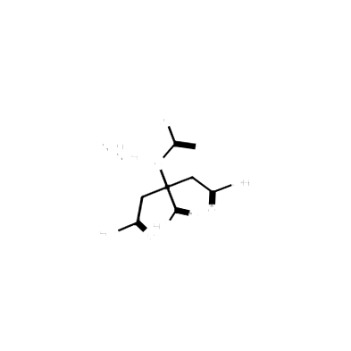 CC(=O)OC(CC(=O)O)(CC(=O)O)C(=O)O.[NaH].[NaH]